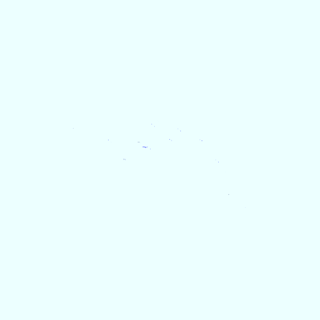 CC(C)(C)OC(=O)N1CCN(c2ccc3cnc(N[C@@H]4CCN(S(=O)(=O)C5CC5)C[C@H]4F)nn23)CC1